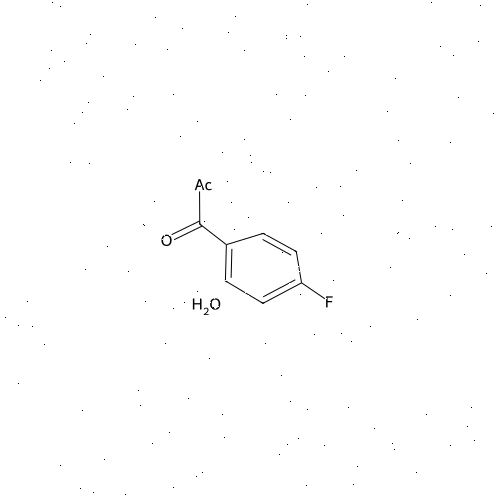 CC(=O)C(=O)c1ccc(F)cc1.O